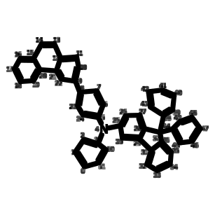 c1ccc(N(c2ccc(-c3ccc4ccc5ccccc5c4c3)cc2)c2ccc3c(c2)-c2ccccc2C3(c2ccccc2)c2ccccc2)cc1